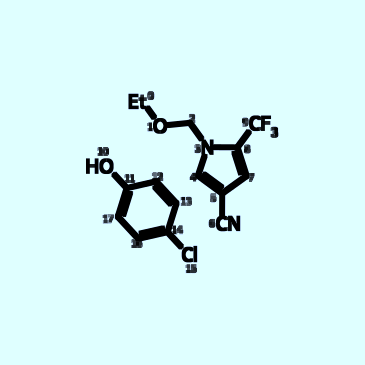 CCOCn1cc(C#N)cc1C(F)(F)F.Oc1ccc(Cl)cc1